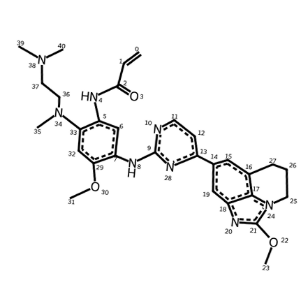 C=CC(=O)Nc1cc(Nc2nccc(-c3cc4c5c(c3)nc(OC)n5CCC4)n2)c(OC)cc1N(C)CCN(C)C